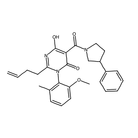 C=CCCc1nc(O)c(C(=O)N2CCC(c3ccccc3)C2)c(=O)n1-c1c(C)cccc1OC